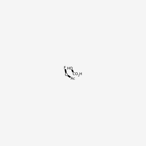 CC(=O)OF.O=C(O)O